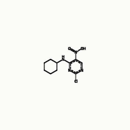 O=[N+](O)c1cnc(Cl)nc1NC1CCCCC1